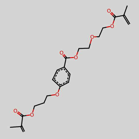 C=C(C)C(=O)OCCCOc1ccc(C(=O)OCCOCCOC(=O)C(=C)C)cc1